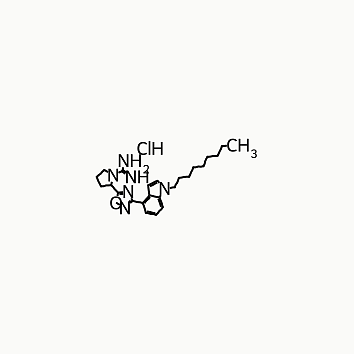 CCCCCCCCCn1ccc2c(-c3noc(C4CCCN4C(=N)N)n3)cccc21.Cl